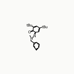 CN(Cc1ccccc1)N=C1C=C(C(C)(C)C)C=C(C(C)(C)C)C1=O